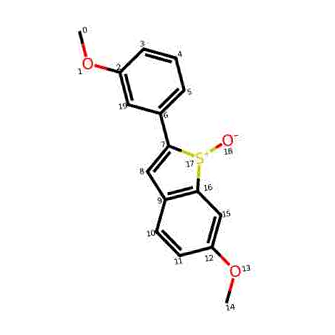 COc1cccc(-c2cc3ccc(OC)cc3[s+]2[O-])c1